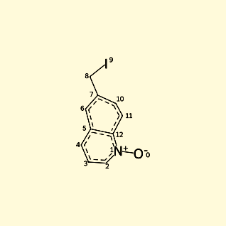 [O-][n+]1cccc2cc(CI)ccc21